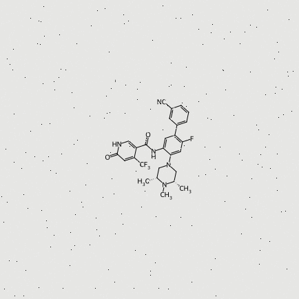 C[C@@H]1CN(c2cc(F)c(-c3cccc(C#N)c3)cc2NC(=O)c2c[nH]c(=O)cc2C(F)(F)F)C[C@H](C)N1C